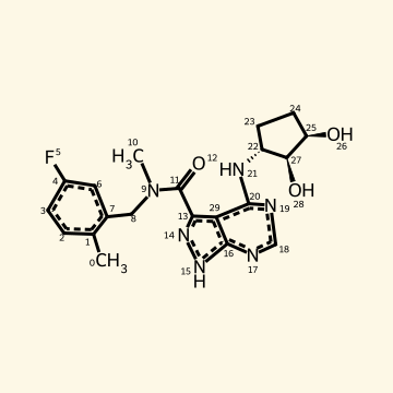 Cc1ccc(F)cc1CN(C)C(=O)c1n[nH]c2ncnc(N[C@@H]3CC[C@@H](O)[C@H]3O)c12